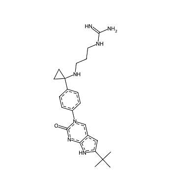 CC(C)(C)c1cc2cn(-c3ccc(C4(NCCCNC(=N)N)CC4)cc3)c(=O)nc2[nH]1